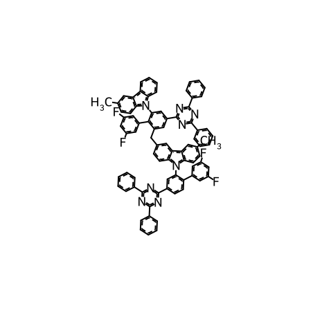 Cc1ccc2c(c1)c1cc(Cc3cc(-c4nc(-c5ccccc5)nc(-c5ccccc5)n4)cc(-n4c5ccccc5c5cc(C)ccc54)c3-c3cc(F)cc(F)c3)ccc1n2-c1cc(-c2nc(-c3ccccc3)nc(-c3ccccc3)n2)ccc1-c1cc(F)cc(F)c1